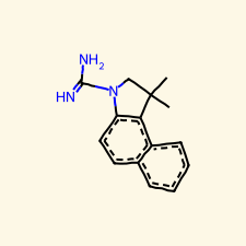 CC1(C)CN(C(=N)N)c2ccc3ccccc3c21